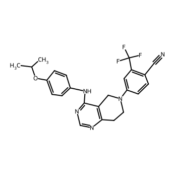 CC(C)Oc1ccc(Nc2ncnc3c2CN(c2ccc(C#N)c(C(F)(F)F)c2)CC3)cc1